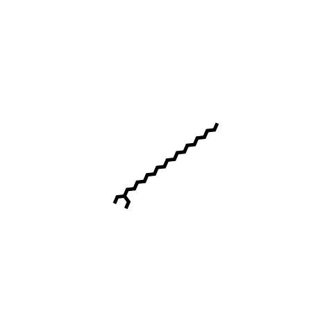 CCCCCCCCCCCCCCCCCCC[C](CC)CC